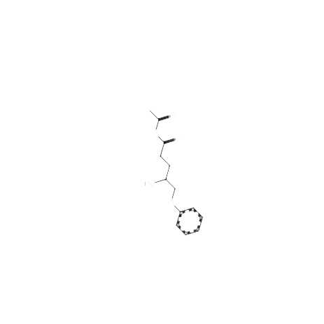 CC(=O)OC(=O)CCC(O)COc1ccccc1